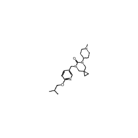 CC(C)COc1ccc(CN2CC3(CC3)CN(C3CCN(C)CC3)C2=O)cn1